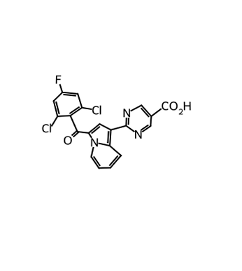 O=C(O)c1cnc(-c2cc(C(=O)c3c(Cl)cc(F)cc3Cl)n3ccccc23)nc1